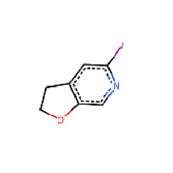 Ic1cc2c(cn1)OCC2